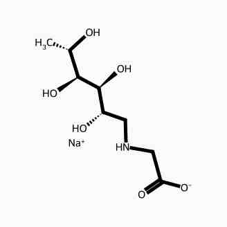 C[C@H](O)[C@H](O)[C@@H](O)[C@@H](O)CNCC(=O)[O-].[Na+]